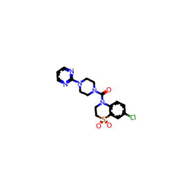 O=C(N1CCN(c2ncccn2)CC1)N1CCS(=O)(=O)c2cc(Cl)ccc21